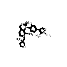 COc1cc(-c2cnn(C)c2C)ccc1N1C(N)=NC=C2C=CN(CC3(C)CCOC3)C(N)=C21